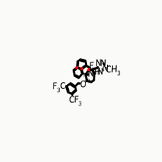 Cn1nnc([C@]2(F)C[C@@]3(c4ccccc4)[C@H](OCc4cc(C(F)(F)F)cc(C(F)(F)F)c4)CC[C@@H]2N3Cc2ccccc2)n1